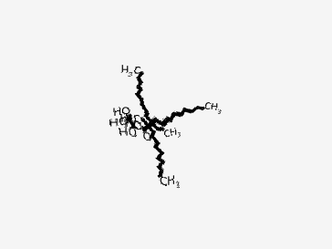 CCCCCCCCCCCC(CCC)(CCCCCCCCCCC)C(CC)(CCCCCCCCCCC)C(=O)O.OCC(O)CO